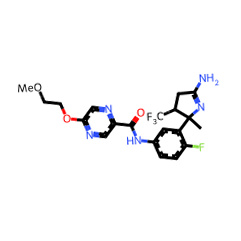 COCCOc1cnc(C(=O)Nc2ccc(F)c(C3(C)N=C(N)CC3C(F)(F)F)c2)cn1